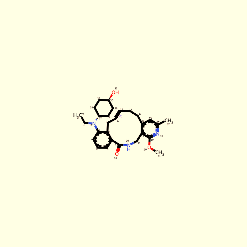 CCN(c1cccc2c1C/C=C/CCc1cc(C)nc(OC)c1CNC2=O)[C@H]1CC[C@H](O)CC1